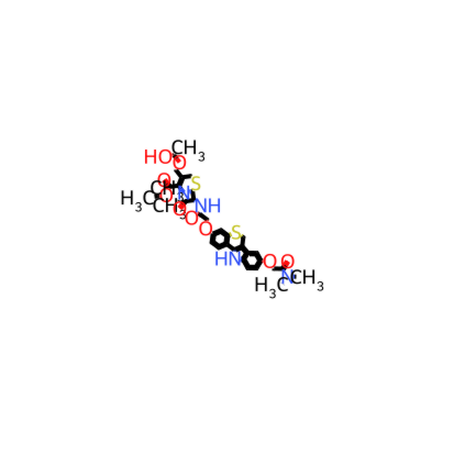 CC(O)OCC1=C(C(=O)OC(C)(C)C)N2C(=O)C(NC(=O)COc3ccc4c(c3)SCc3c-4[nH]c4ccc(OCC(=O)N(C)C)cc34)C2SC1